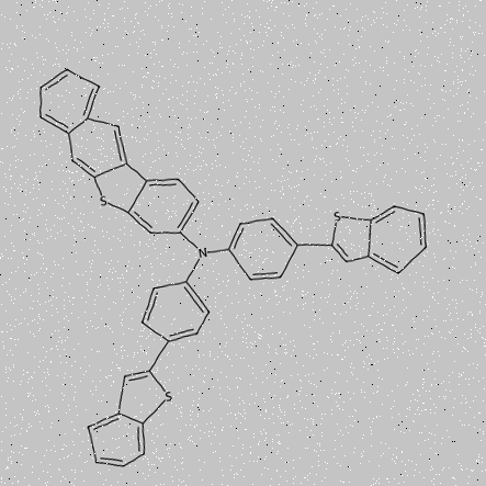 c1ccc2cc3c(cc2c1)sc1cc(N(c2ccc(-c4cc5ccccc5s4)cc2)c2ccc(-c4cc5ccccc5s4)cc2)ccc13